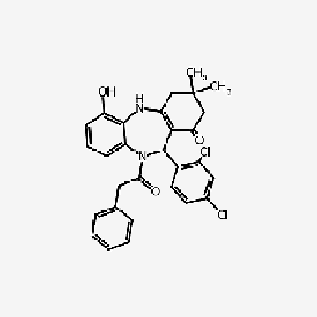 CC1(C)CC(=O)C2=C(C1)Nc1c(O)cccc1N(C(=O)Cc1ccccc1)C2c1ccc(Cl)cc1Cl